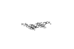 CN1CCC(C(C)(C)C(C)(C)C2CCN(N3CCC(C(C)(C)C(C)(C)C4CCN(C)C4)C3)CC2)CC1